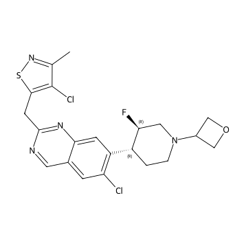 Cc1nsc(Cc2ncc3cc(Cl)c([C@H]4CCN(C5COC5)C[C@@H]4F)cc3n2)c1Cl